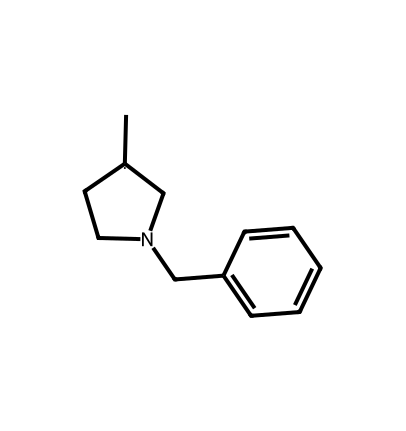 C[C]1CCN(Cc2ccccc2)C1